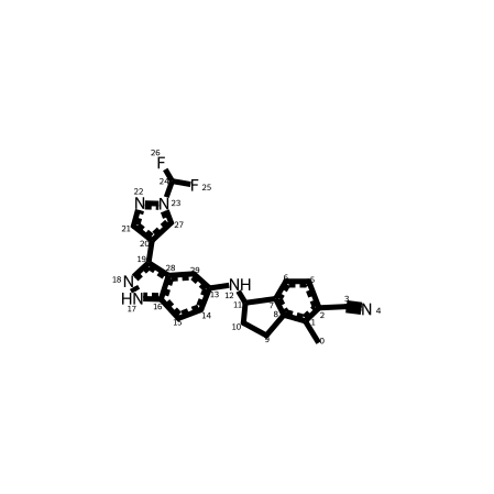 Cc1c(C#N)ccc2c1CCC2Nc1ccc2[nH]nc(-c3cnn(C(F)F)c3)c2c1